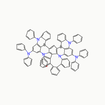 c1ccc(N(c2ccccc2)c2cc3c4c(c2)N(c2ccccc2)c2c(cc5c6c2c2ccccc2c2ccccc2c2ccccc2n6-c2cc(N(c6ccccc6)c6ccccc6)cc6c2B5c2ccccc2N6c2ccccc2)B4c2ccccc2N3c2ccccc2)cc1